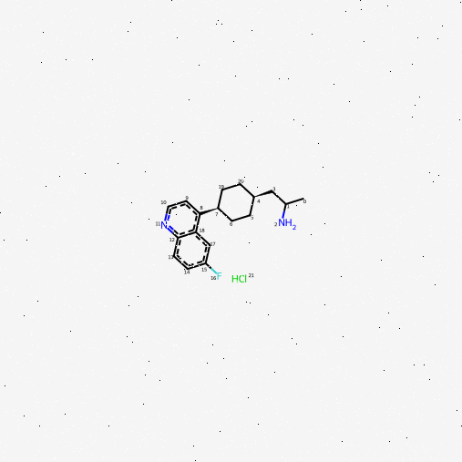 CC(N)C[C@H]1CC[C@@H](c2ccnc3ccc(F)cc32)CC1.Cl